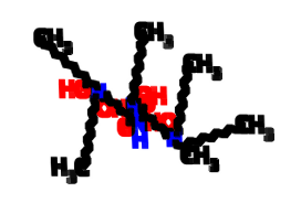 CCCCCCCCCC(C)CN(CCCCC1NC(=O)C(CCCCN(CC(O)CCCCCCCCC)CC(O)CCCCCCCCC)N(CC(O)CCCCCCCCC)C1=O)CC(O)CCCCCCCCC